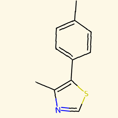 Cc1ccc(-c2scnc2C)cc1